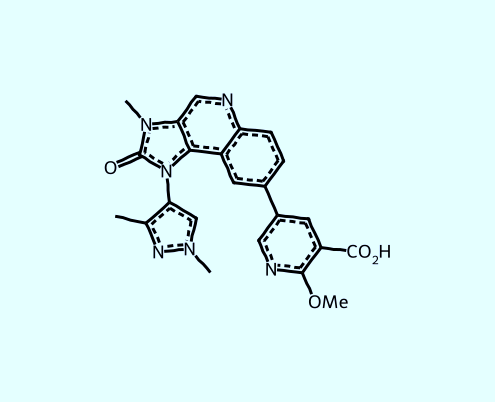 COc1ncc(-c2ccc3ncc4c(c3c2)n(-c2cn(C)nc2C)c(=O)n4C)cc1C(=O)O